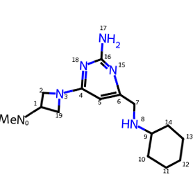 CNC1CN(c2cc(CNC3CCCCC3)nc(N)n2)C1